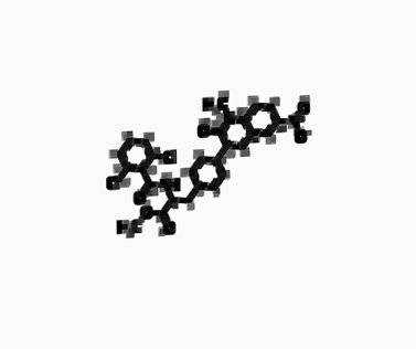 COC(=O)C(Cc1ccc(-c2cc3cc([N+](=O)[O-])ccc3n(C)c2=O)cc1)NC(=O)c1c(Cl)cccc1Cl